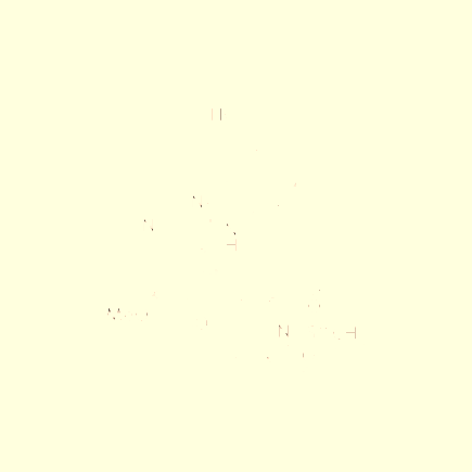 C#Cc1cccc(Nc2ncnc3cc(OC)c(OC4CCN(S(C)(=O)=O)CC4)cc23)c1